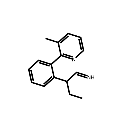 CCC(C=N)c1ccccc1-c1ncccc1C